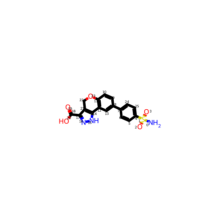 NS(=O)(=O)c1ccc(-c2ccc3c(c2)-c2[nH]nc(C(=O)O)c2CO3)cc1